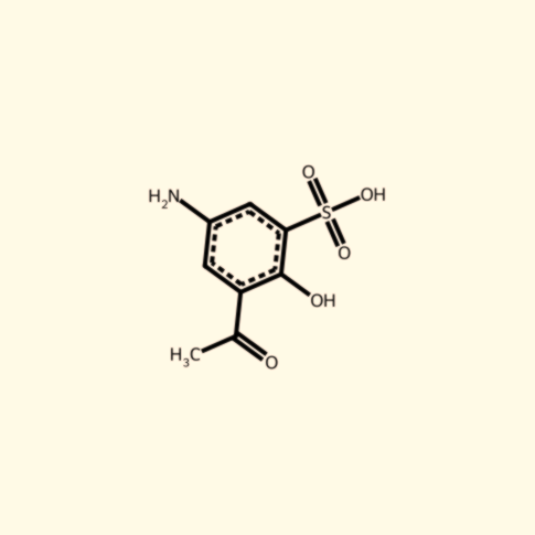 CC(=O)c1cc(N)cc(S(=O)(=O)O)c1O